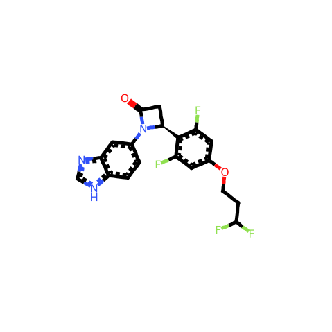 O=C1C[C@@H](c2c(F)cc(OCCC(F)F)cc2F)N1c1ccc2[nH]cnc2c1